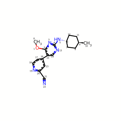 COc1nc(N[C@H]2CC[C@H](C)CC2)ncc1-c1ccnc(C#N)c1